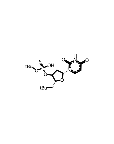 CC(C)(C)C[C@H]1O[C@@H](n2ccc(=O)[nH]c2=O)CC1OP(O)(=S)OC(C)(C)C